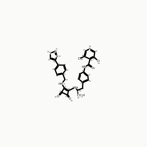 O=C(Nc1ccc(C[C@H](Nc2c(NCc3ccc(-c4csnn4)cc3)c(=O)c2=O)C(=O)O)cc1)c1c(Cl)cncc1Cl